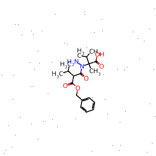 CC(C)C(C(=O)OCc1ccccc1)C(=O)N(N)C(C)(C(=O)O)C(C)C